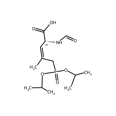 CC(=C[C@@H](NC=O)C(=O)O)CP(=O)(OC(C)C)OC(C)C